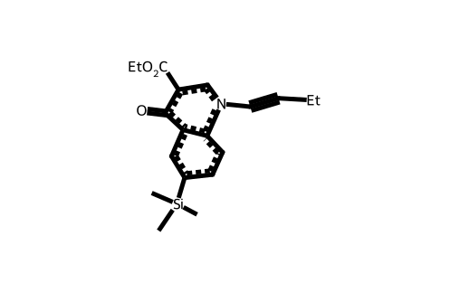 CCC#Cn1cc(C(=O)OCC)c(=O)c2cc([Si](C)(C)C)ccc21